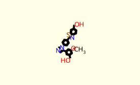 COc1cc(CO)cc(-c2cncn2-c2ccc(-c3nc4ccc(CO)cc4s3)cc2)c1